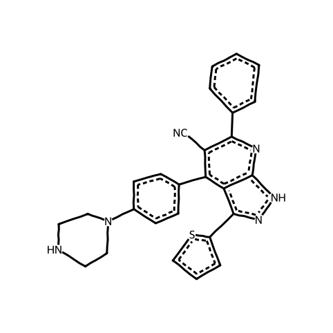 N#Cc1c(-c2ccccc2)nc2[nH]nc(-c3cccs3)c2c1-c1ccc(N2CCNCC2)cc1